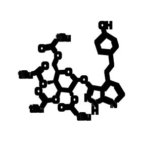 CC(C)(C)C(=O)OC[C@H]1O[C@@H](Oc2n[nH]c3nccc(CCc4ccc(O)cc4)c23)[C@H](OC(=O)C(C)(C)C)[C@@H](OC(=O)C(C)(C)C)[C@@H]1OC(=O)C(C)(C)C